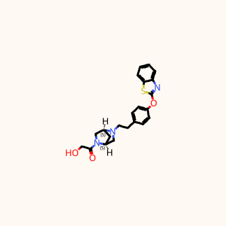 O=C(CO)N1C[C@@H]2C[C@H]1CN2CCc1ccc(Oc2nc3ccccc3s2)cc1